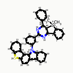 C[Si]1(C)c2ccccc2-c2nc(-c3cccc(-n4c5ccccc5c5ccc6sc7ccccc7c6c54)c3)nc(-c3ccccc3)c21